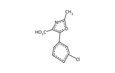 Cc1nc(C(=O)O)c(-c2cccc(Cl)c2)o1